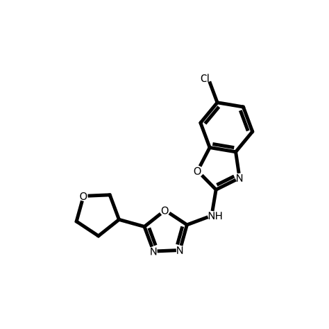 Clc1ccc2nc(Nc3nnc(C4CCOC4)o3)oc2c1